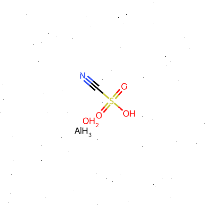 N#CS(=O)(=O)O.O.[AlH3]